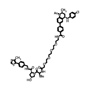 CC(=O)N1c2ccc(-c3ccc(C(=O)NCCOCCOCCOCCOCC(=O)NC(C(=O)N4C[C@H](O)C[C@H]4C(=O)NCc4ccc(-c5scnc5C)cc4)C(C)(C)C)cc3)cc2[C@H](Nc2ccc(Cl)cc2)C[C@@H]1C